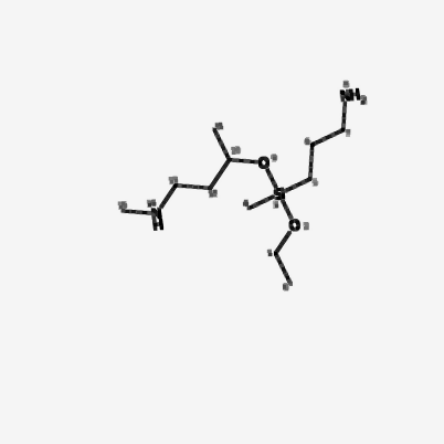 CCO[Si](C)(CCCN)OC(C)CCNC